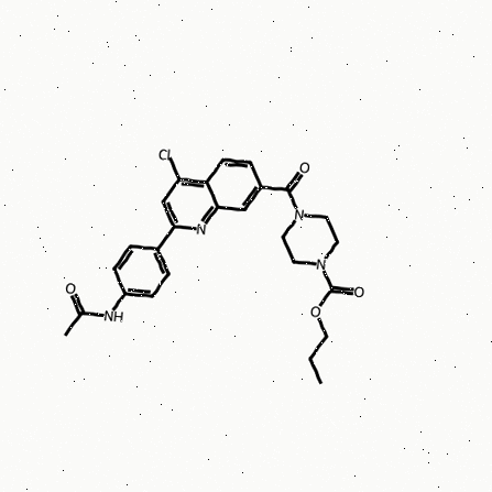 CCCOC(=O)N1CCN(C(=O)c2ccc3c(Cl)cc(-c4ccc(NC(C)=O)cc4)nc3c2)CC1